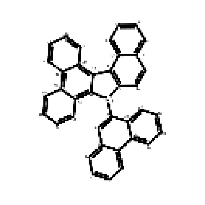 c1ccc2c(c1)cc(-n1c3ccc4ccccc4c3c3c4ccccc4c4ccccc4c31)c1ccccc12